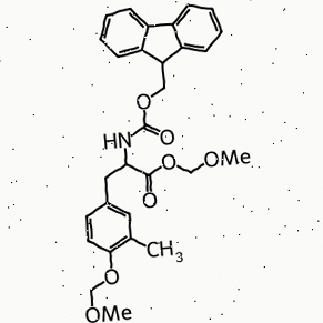 COCOC(=O)C(Cc1ccc(OCOC)c(C)c1)NC(=O)OCC1c2ccccc2-c2ccccc21